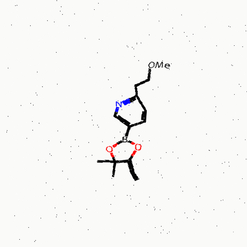 C=C1OB(c2ccc(CCOC)nc2)OC1(C)C